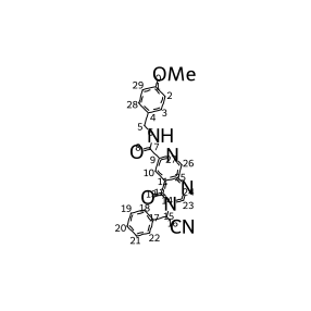 COc1ccc(CNC(=O)c2cc3c(=O)n(C(C#N)c4ccccc4)cnc3cn2)cc1